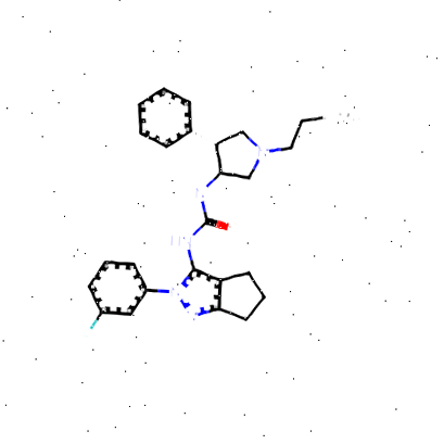 COCCN1CC(NC(=O)Nc2c3c(nn2-c2cccc(F)c2)CCC3)[C@H](c2ccccc2)C1